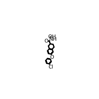 O=C(NO)C1CCc2cc(Oc3cccc(Cl)c3)ccc2C1